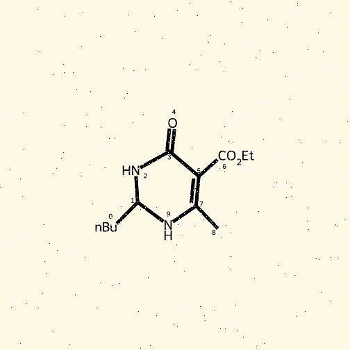 CCCCC1NC(=O)C(C(=O)OCC)=C(C)N1